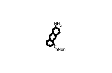 CCCCCCCCCCc1cccc2cc3cc(N)ccc3cc12